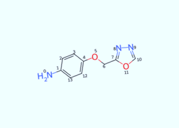 Nc1ccc(OCc2nnco2)cc1